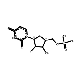 O=c1ccn([C@H]2O[C@@H](COP(=O)(O)O)C(O)C2F)c(=O)[nH]1